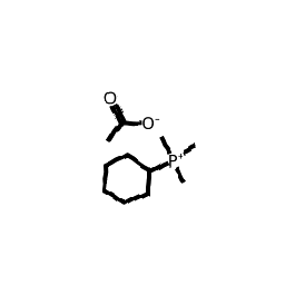 CC(=O)[O-].C[P+](C)(C)C1CCCCC1